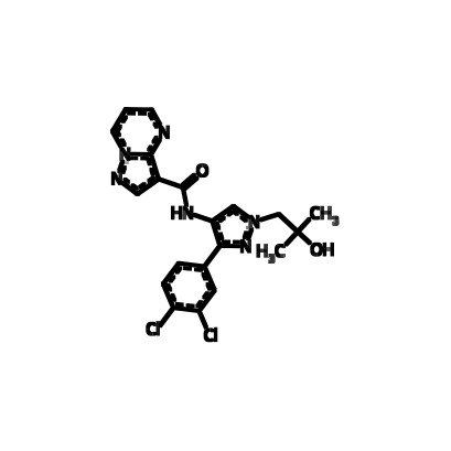 CC(C)(O)Cn1cc(NC(=O)c2cnn3cccnc23)c(-c2ccc(Cl)c(Cl)c2)n1